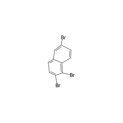 Brc1ccc2c(Br)c(Br)ccc2c1